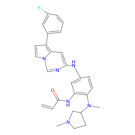 C=CC(=O)Nc1cc(Nc2cc3c(-c4cccc(F)c4)ccn3cn2)ccc1N(C)C1CCN(C)C1